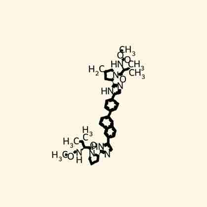 C=C1C[C@@H](c2ncc(-c3ccc(-c4ccc5cc(-c6cnc([C@@H]7CCCN7C(=O)[C@@H](NCOC)C(C)C)[nH]6)ccc5c4)cc3)[nH]2)N(C(=O)[C@@H](NC(=O)OC)C(C)C)C1